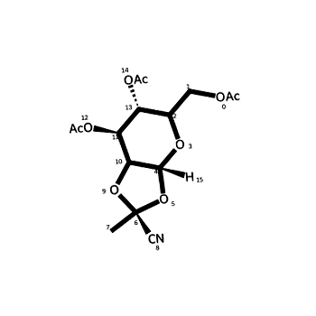 CC(=O)OCC1O[C@@H]2O[C@@](C)(C#N)OC2[C@@H](OC(C)=O)[C@@H]1OC(C)=O